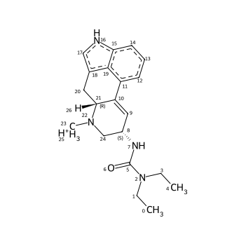 CCN(CC)C(=O)N[C@H]1C=C2c3cccc4[nH]cc(c34)C[C@H]2N(C)C1.[H+]